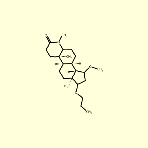 CCCOC1CC(OC)[C@H]2[C@@H]3CCC4N(C)C(=O)CC[C@]4(C)[C@@H]3CC[C@]12C